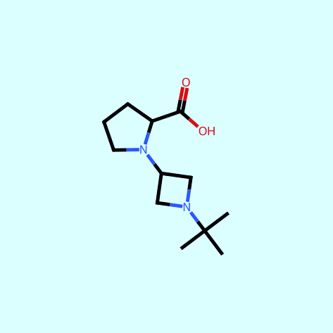 CC(C)(C)N1CC(N2CCCC2C(=O)O)C1